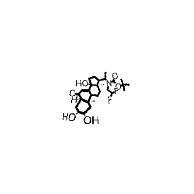 CC(C1CC[C@@]2(O)C3=CC(=O)[C@@H]4C[C@@H](O)[C@@H](O)C[C@]4(C)C3CC[C@]12C)N(CC(F)F)C(=O)OC(C)(C)C